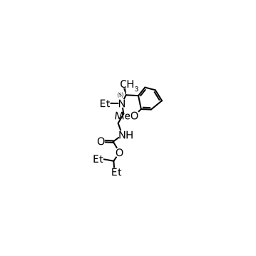 CCC(CC)OC(=O)NCCN(CC)[C@@H](C)c1ccccc1OC